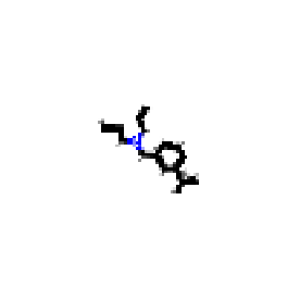 C=CCN(CC=C)Cc1cccc(C(=C)C)c1